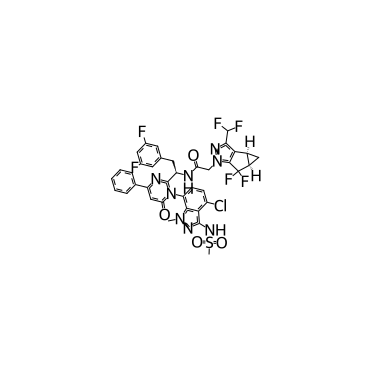 Cn1nc(NS(C)(=O)=O)c2c(Cl)ccc(-n3c([C@@H](Cc4cc(F)cc(F)c4)NC(=O)Cn4nc(C(F)F)c5c4C(F)(F)[C@@H]4C[C@H]54)nc(-c4ccccc4)cc3=O)c21